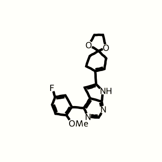 COc1ccc(F)cc1-c1ncnc2[nH]c(C3=CCC4(CC3)OCCO4)cc12